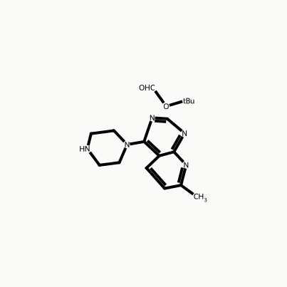 CC(C)(C)OC=O.Cc1ccc2c(N3CCNCC3)ncnc2n1